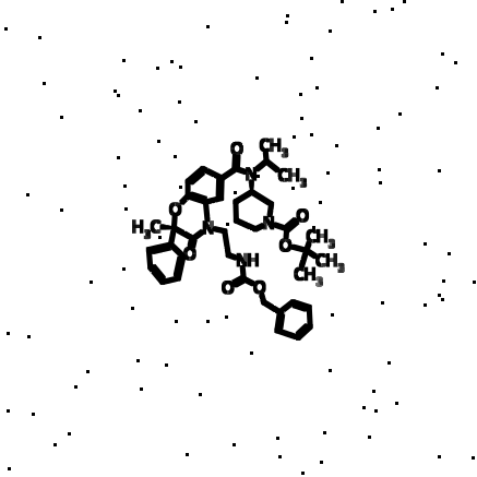 CC(C)N(C(=O)c1ccc2c(c1)N(CCNC(=O)OCc1ccccc1)C(=O)[C@](C)(c1ccccc1)O2)[C@@H]1CCCN(C(=O)OC(C)(C)C)C1